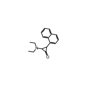 CCN(CC)C1C(=O)C1c1cccc2ccccc12